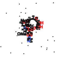 CC[C@H]1OC(=O)[C@H](C)[C@@H](OC2C[C@@](C)(OC)[C@@H](OC(=O)n3ccnc3)[C@H](C)O2)[C@H](C)[C@@H](OC2O[C@H](C)C[C@H](N(C)C)[C@H]2OC(C)=O)[C@](C)(OC)C[C@@H](C)C(=O)[C@H](C)[C@@H](O)[C@]1(C)O